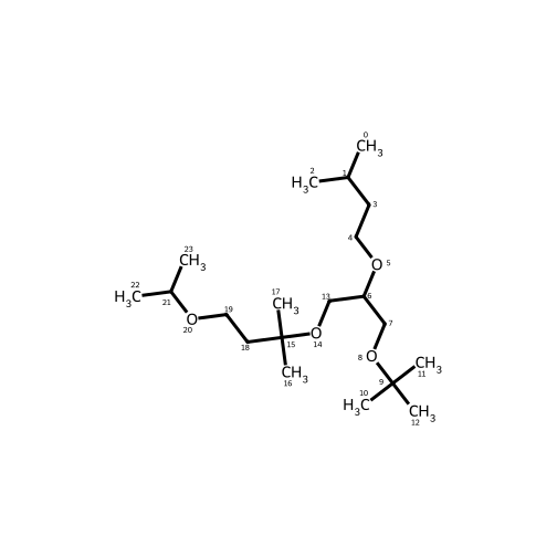 CC(C)CCOC(COC(C)(C)C)COC(C)(C)CCOC(C)C